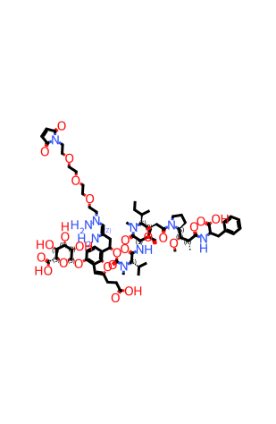 CCC(C)[C@@H]([C@@H](CC(=O)N1CCC[C@H]1[C@H](OC)[C@@H](C)C(=O)NC(Cc1ccccc1)C(=O)O)OC)N(C)C(=O)[C@@H](NC(=O)[C@H](C(C)C)N(C)C(=O)OC(C/C(N)=C/N(N)CCOCCOCCOCCN1C(=O)C=CC1=O)c1ccc(O[C@@H]2O[C@H](C(=O)O)[C@@H](O)[C@H](O)[C@H]2O)c2cc(CCC(=O)O)oc12)C(C)C